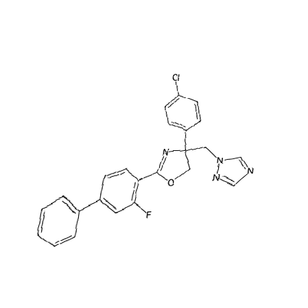 Fc1cc(-c2ccccc2)ccc1C1=NC(Cn2cncn2)(c2ccc(Cl)cc2)CO1